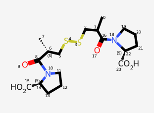 CC(CSSC[C@@H](C)C(=O)N1CCC[C@H]1C(=O)O)C(=O)N1CCC[C@H]1C(=O)O